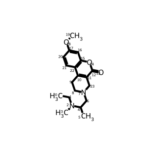 CCN(C)C(C)CN1CCc2c(c(=O)oc3cc(OC)ccc23)C1